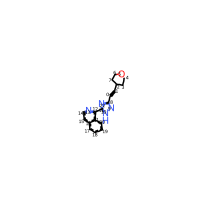 C(#CC1CCOCC1)c1n[nH]c(-c2nccc3ccccc23)n1